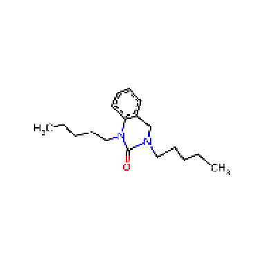 CCCCCN1Cc2ccccc2N(CCCCC)C1=O